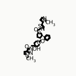 Cn1nccc1-c1cnc(C(=O)N2CC[C@@H](C(=O)N3CCC(O)(Cn4cnc5c(ccn5C)c4=O)CC3)[C@H](c3ccccc3)C2)s1